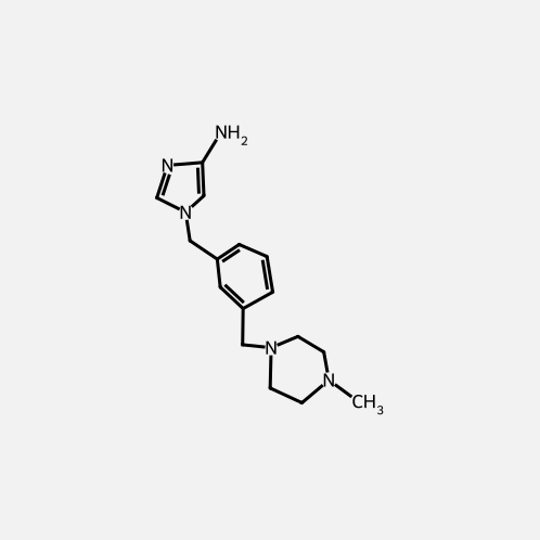 CN1CCN(Cc2cccc(Cn3cnc(N)c3)c2)CC1